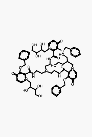 O=C(NCCN(CCNC(=O)c1c(OCc2ccccc2)c(=O)ccn1CC(O)C(O)CO)CCNC(=O)c1c(OCc2ccccc2)c(=O)ccn1CC(O)C(O)CO)c1c(OCc2ccccc2)c(=O)ccn1CC(CO)CCO